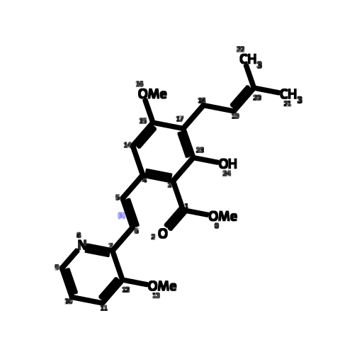 COC(=O)c1c(/C=C/c2ncccc2OC)cc(OC)c(CC=C(C)C)c1O